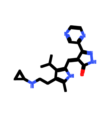 Cc1[nH]c(C=C2C(=O)NN=C2c2cnccn2)c(C(C)C)c1CCNC1CC1